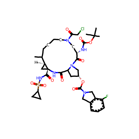 CC1CCCCN(C(=O)CCl)C[C@H](NC(=O)OC(C)(C)C)C(=O)N2C[C@H](OC(=O)N3Cc4cccc(F)c4C3)CC2C(=O)N[C@]2(C(=O)NS(=O)(=O)C3CC3)C[C@@H]12